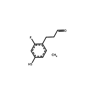 C.O=CCCc1ccc(S)cc1F